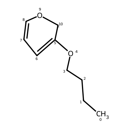 CCCCOC1=CC=CO[C]1